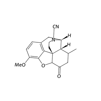 COc1ccc2c3c1OC1C(=O)CC(C)[C@H]4[C@@H](C2)N(C#N)CC[C@]314